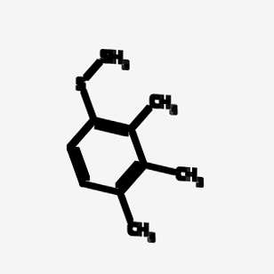 Cc1ccc(S[SiH3])c(C)c1C